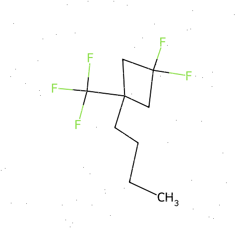 CCCCC1(C(F)(F)F)CC(F)(F)C1